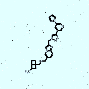 FC(F)(F)C1CC2(CNCc3ccc4nc(Cn5cc(-c6cncc(-n7cccc7)c6)nn5)cn4c3)CCC12